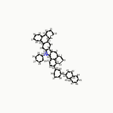 C1=Cc2cc3c4cc5c6ccccc6c6ccccc6c5cc4n(-c4ccccc4)c3c3ccc(-c4cccc(-c5ccc6ccccc6c5)c4)c(c23)C1